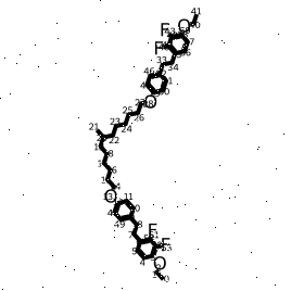 CCOc1ccc(CCc2ccc(OCCCCCCC(C)CCCCCCOc3ccc(CCc4ccc(OCC)c(F)c4F)cc3)cc2)c(F)c1F